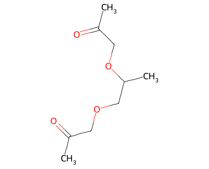 CC(=O)COCC(C)OCC(C)=O